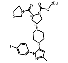 Cc1cc(N2CCN([C@H]3C[C@@H](C(=O)N4CCSC4)N(C(=O)OC(C)(C)C)C3)CC2)n(-c2ccc(F)cc2)n1